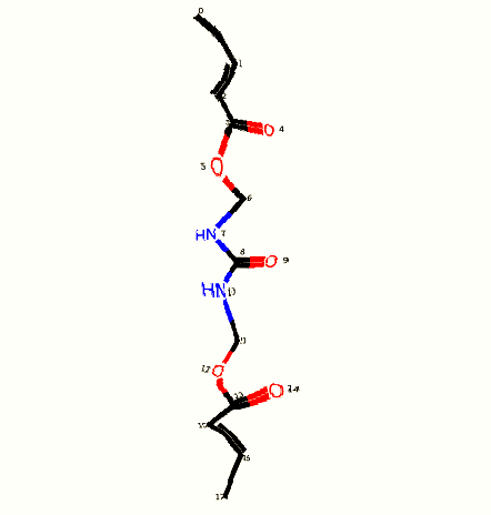 CC=CC(=O)OCNC(=O)NCOC(=O)C=CC